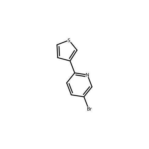 Brc1ccc(-c2ccsc2)nc1